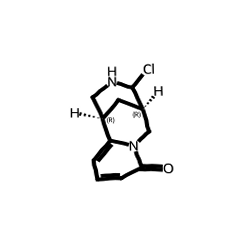 O=c1cccc2n1C[C@H]1C[C@@H]2CNC1Cl